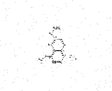 COc1ccc2c(C)cnc(OC)c2c1